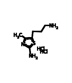 Cc1nc(N)sc1CCCN.Cl.Cl